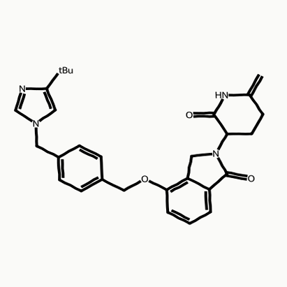 C=C1CCC(N2Cc3c(OCc4ccc(Cn5cnc(C(C)(C)C)c5)cc4)cccc3C2=O)C(=O)N1